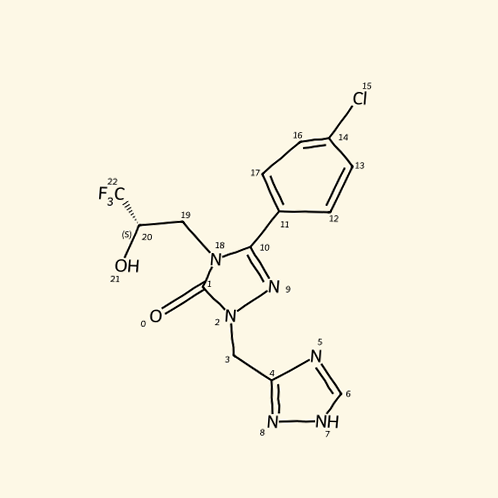 O=c1n(Cc2nc[nH]n2)nc(-c2ccc(Cl)cc2)n1C[C@H](O)C(F)(F)F